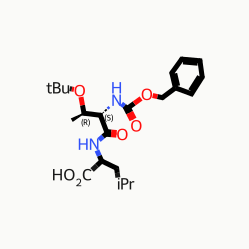 CC(C)CC(NC(=O)[C@@H](NC(=O)OCc1ccccc1)[C@@H](C)OC(C)(C)C)C(=O)O